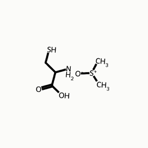 C[S+](C)[O-].NC(CS)C(=O)O